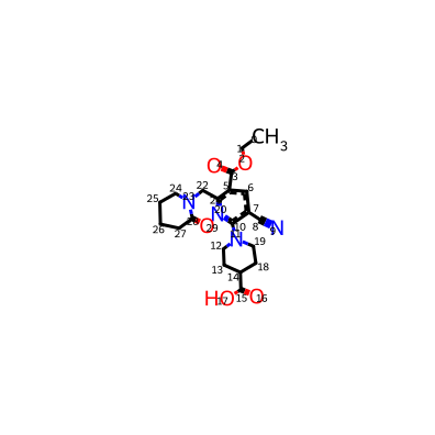 CCOC(=O)c1cc(C#N)c(N2CCC(C(=O)O)CC2)nc1CN1CCCCC1=O